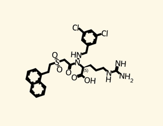 N=C(N)NCCC[C@@H](C(=O)O)N(NCc1cc(Cl)cc(Cl)c1)C(=O)CS(=O)(=O)CCc1cccc2ccccc12